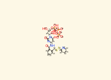 O=C(Nc1ccn(C2CC(O)C(OP(=O)(O)OP(=O)(O)OP(=O)(O)O)O2)c(=O)n1)c1ccccc1CSSc1ccccn1